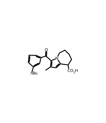 CCCCc1cccc(C(=O)c2c(C)cc3n2CCCCC3C(=O)O)c1